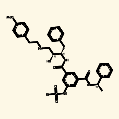 CCS(=O)(=O)Nc1cc(C(=O)N[C@@H](Cc2ccccc2)[C@H](O)CNCCc2ccc(OC)cc2)cc(C(=O)N[C@H](C)c2ccccc2)c1